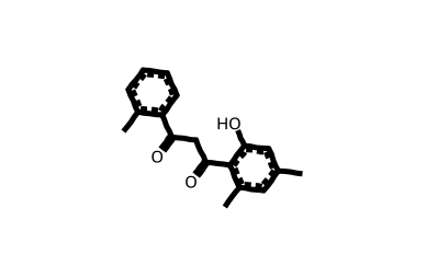 Cc1cc(C)c(C(=O)CC(=O)c2ccccc2C)c(O)c1